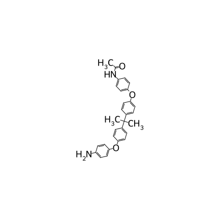 CC(=O)Nc1ccc(Oc2ccc(C(C)(C)c3ccc(Oc4ccc(N)cc4)cc3)cc2)cc1